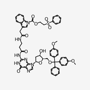 COc1ccc(C(OC[C@H]2O[C@@H](n3cnc4c(=O)[nH]c(NC(=O)CCNC(=O)Cc5cn(C(=O)OCCS(=O)(=O)c6ccccc6)c6ccccc56)nc43)C[C@H]2O)(c2ccccc2)c2ccc(OC)cc2)cc1